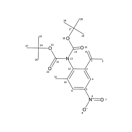 C=C(C)c1cc([N+](=O)[O-])cc(C)c1N(C(=O)OC(C)(C)C)C(=O)OC(C)(C)C